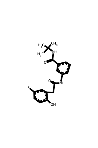 CC(C)(C)NC(=O)c1cccc(NC(=O)Cc2cc(F)ccc2O)c1